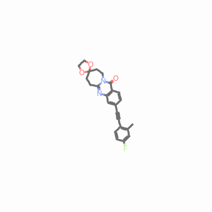 Cc1cc(F)ccc1C#Cc1ccc2c(=O)n3c(nc2c1)CCC1(CC3)OCCO1